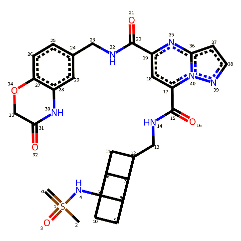 C=S(C)(=O)NC12C3C4C1C1C2C3C41CNC(=O)c1cc(C(=O)NCc2ccc3c(c2)NC(=O)CO3)nc2ccnn12